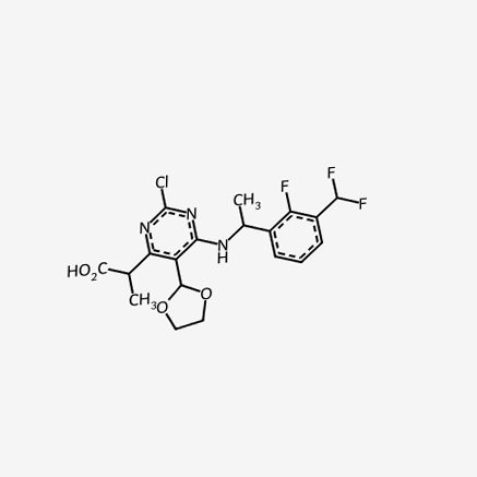 CC(Nc1nc(Cl)nc(C(C)C(=O)O)c1C1OCCO1)c1cccc(C(F)F)c1F